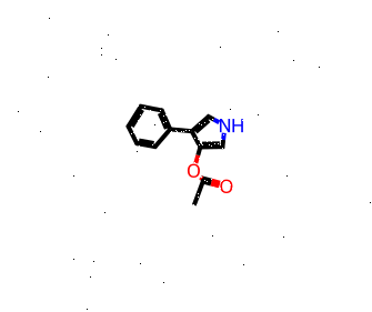 CC(=O)Oc1c[nH]cc1-c1ccccc1